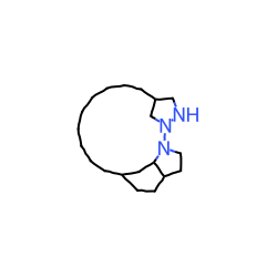 C1CCCCC2CCC3CCN(C3C2)N2CC(CCCC1)CN2